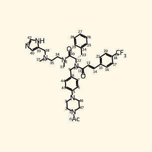 CC(=O)N1CCN(c2ccc(CN(C(=O)C=Cc3ccc(C(F)(F)F)cc3)[C@@H](Cc3ccccc3)C(=O)N(C)CCN(C)Cc3cnc[nH]3)cc2)CC1